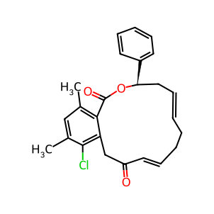 Cc1cc(C)c2c(c1Cl)CC(=O)/C=C/CC/C=C/C[C@H](c1ccccc1)OC2=O